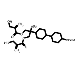 C=C(CO)C(=O)OCC(CCCC)(COC(=O)C(=C)CO)C1CCC(C2CCC(CCCCC)CC2)CC1